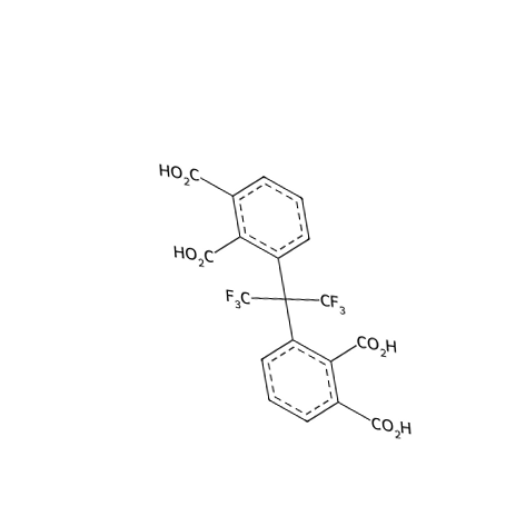 O=C(O)c1cccc(C(c2cccc(C(=O)O)c2C(=O)O)(C(F)(F)F)C(F)(F)F)c1C(=O)O